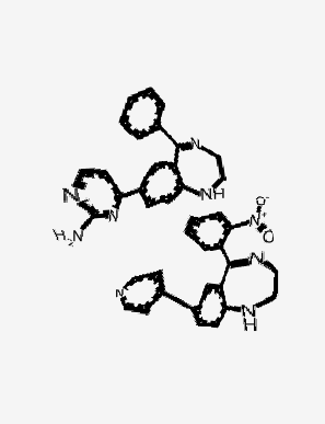 Nc1nccc(-c2ccc3c(c2)C(c2ccccc2)=NCCN3)n1.O=[N+]([O-])c1ccccc1C1=NCCNc2ccc(-c3ccncc3)cc21